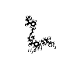 CNc1nc(Nc2ccc(C(=O)N3CCN(CCCOc4cccc(C(=O)c5cscn5)c4)CC3)cc2OC)ncc1Cl